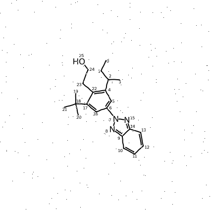 CCC(C)c1cc(-n2nc3ccccc3n2)cc(C(C)(C)C)c1CCO